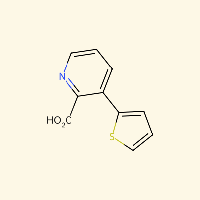 O=C(O)c1ncccc1-c1cccs1